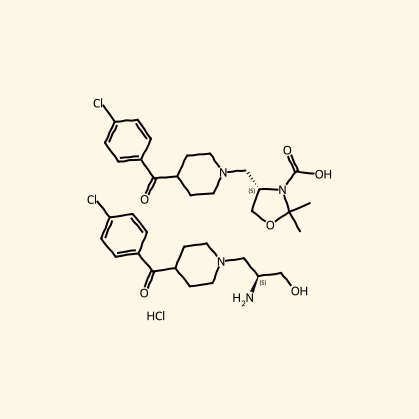 CC1(C)OC[C@H](CN2CCC(C(=O)c3ccc(Cl)cc3)CC2)N1C(=O)O.Cl.N[C@H](CO)CN1CCC(C(=O)c2ccc(Cl)cc2)CC1